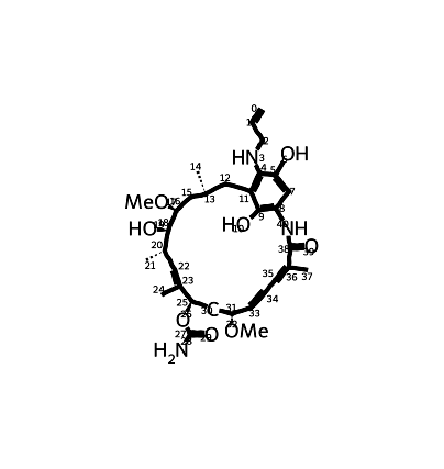 C=CCNc1c(O)cc2c(O)c1C[C@@H](C)C[C@H](OC)[C@H](O)[C@@H](C)/C=C(\C)[C@H](OC(N)=O)C[C@@H](OC)/C=C\C=C(/C)C(=O)N2